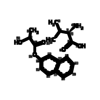 CC(C)[C@H](N)C(=O)O.CC(O)C(=O)Oc1ccc2ccccc2c1